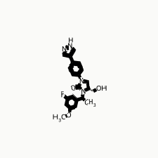 COc1cc(F)cc(C(C)N2C(=O)N(c3ccc(-c4cn[nH]c4)cc3)C[C@@H]2CO)c1